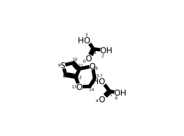 O=C(O)O.O=C(O)O.c1scc2c1OCCO2